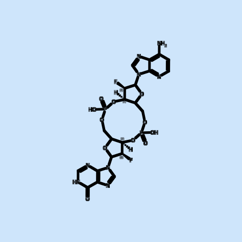 Nc1ccnc2c1ncn2C1OC2COP(=O)(O)O[C@@H]3C(COP(=O)(O)O[C@H]2[C@H]1F)OC(n1cnc2c(=O)[nH]cnc21)[C@@H]3F